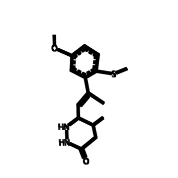 COc1ccc(SC)c(/C(C)=C/C2NNC(=O)CC2C)c1